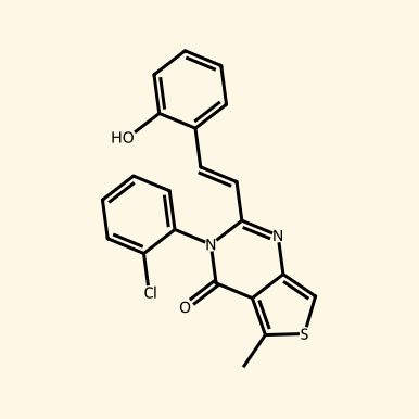 Cc1scc2nc(/C=C/c3ccccc3O)n(-c3ccccc3Cl)c(=O)c12